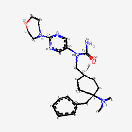 CN(C)[C@]1(Cc2ccccc2)CC[C@@](C)(CN(C(N)=O)c2cnc(N3CCOCC3)nc2)CC1